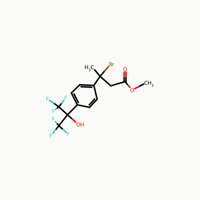 COC(=O)CC(C)(Br)c1ccc(C(O)(C(F)(F)F)C(F)(F)F)cc1